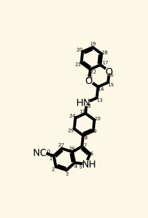 N#Cc1ccc2[nH]cc(C3=CCC(NCC4COc5ccccc5O4)CC3)c2c1